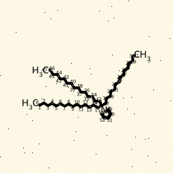 CCCCCCCCCCCCCCCCC(CCCCCCCCCCCCCCC)(CCCCCCCCCCCCCCCC)[n+]1ccccc1